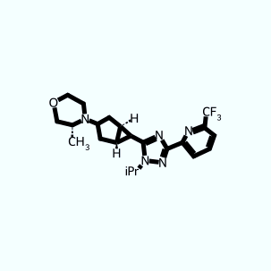 CC(C)n1nc(-c2cccc(C(F)(F)F)n2)nc1C1[C@H]2CC(N3CCOC[C@H]3C)C[C@@H]12